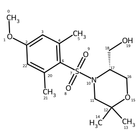 COc1cc(C)c(S(=O)(=O)N2CC(C)(C)OC[C@H]2CO)c(C)c1